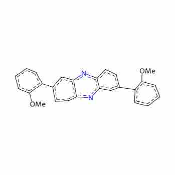 COc1ccccc1-c1ccc2nc3cc(-c4ccccc4OC)ccc3nc2c1